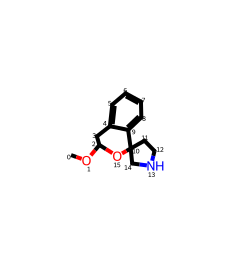 COC1Cc2ccccc2C2(CCNC2)O1